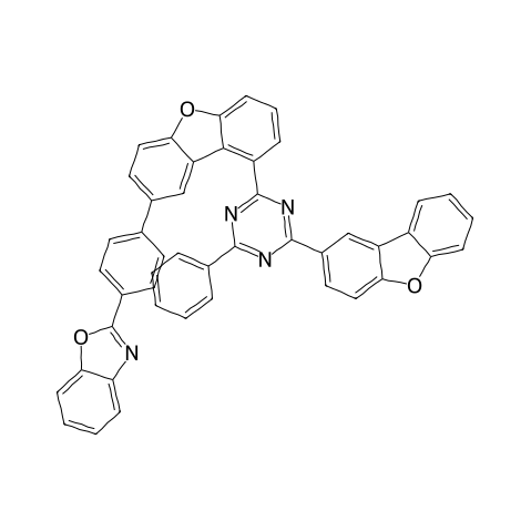 c1ccc(-c2nc(-c3ccc4oc5ccccc5c4c3)nc(-c3cccc4oc5ccc(-c6ccc(-c7nc8ccccc8o7)cc6)cc5c34)n2)cc1